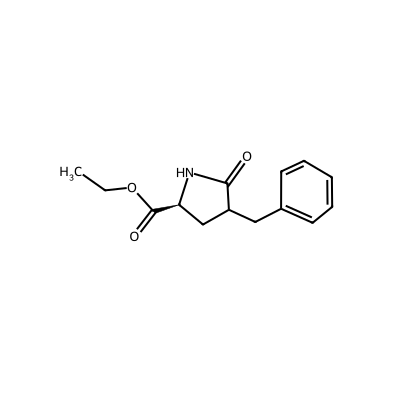 CCOC(=O)[C@@H]1CC(Cc2ccccc2)C(=O)N1